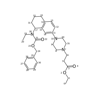 CCOC(=O)CCN1CCN(c2ccc3c(c2)C(N(CC)C(=O)OCc2ccccc2)CCC3)CC1